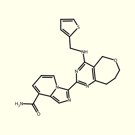 NC(=O)c1cccn2c(-c3nc4c(c(NCc5cccs5)n3)COCCC4)ncc12